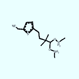 C[SiH2]OC(O[SiH2]C)C(C)(C)CCc1ccc(CC#N)s1